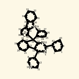 c1ccc(-c2nc(-c3ccncc3)c3c(n2)C2(c4ccccc4-3)c3ccccc3-n3c4ccccc4c4cccc2c43)cc1